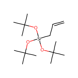 C=CC[Si](OC(C)(C)C)(OC(C)(C)C)OC(C)(C)C